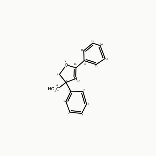 O=C(O)C1(c2ccccc2)COC(c2ccccc2)=N1